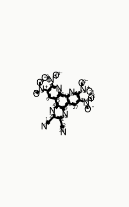 N#Cc1nc2c3cc([N+](=O)[O-])c([N+](=O)[O-])nc3c3nc([N+](=O)[O-])c([N+](=O)[O-])cc3c2nc1C#N